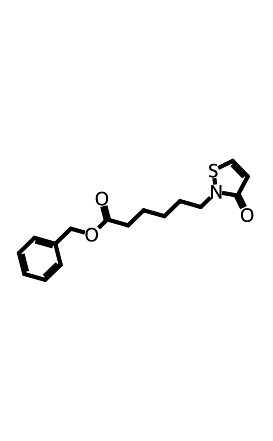 O=C(CCCCCn1sccc1=O)OCc1ccccc1